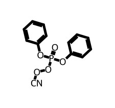 N#COOP(=O)(Oc1ccccc1)Oc1ccccc1